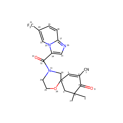 CC1(C)CC2(C=C(C#N)C1=O)CN(C(=O)c1cnc3ccc(C(F)(F)F)cn13)CCO2